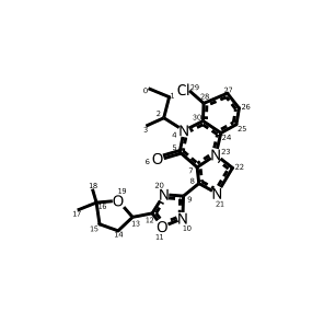 CCC(C)n1c(=O)c2c(-c3noc(C4CCC(C)(C)O4)n3)ncn2c2cccc(Cl)c21